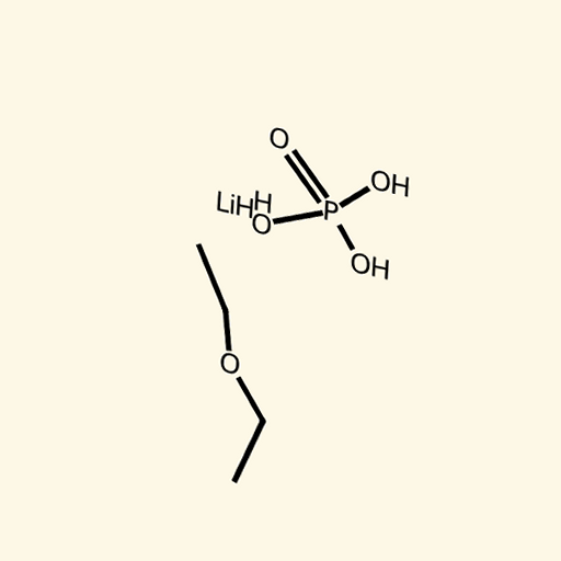 CCOCC.O=P(O)(O)O.[LiH]